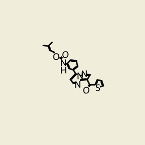 CC(C)=CCOC(=O)Nc1cccc(-c2ccnc3c(C(=O)c4cccs4)cnn23)c1